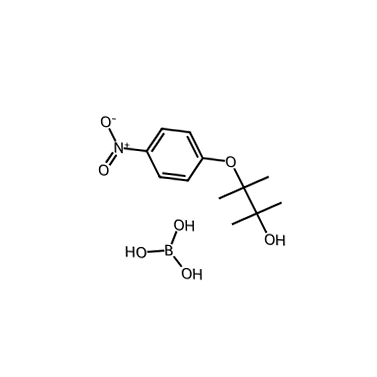 CC(C)(O)C(C)(C)Oc1ccc([N+](=O)[O-])cc1.OB(O)O